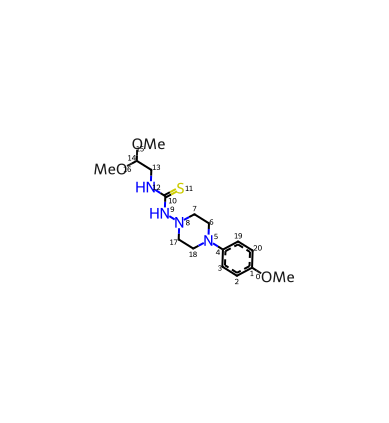 COc1ccc(N2CCN(NC(=S)NCC(OC)OC)CC2)cc1